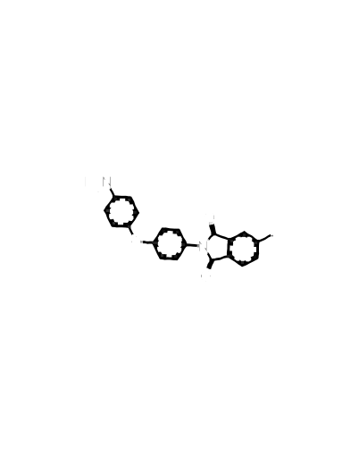 Nc1ccc(Oc2ccc(N3C(=O)c4ccc(I)cc4C3=O)cc2)cc1